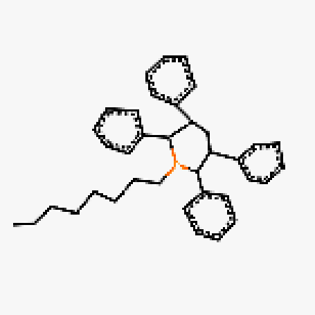 CCCCCCCCP1C(c2ccccc2)C(c2ccccc2)CC(c2ccccc2)C1c1ccccc1